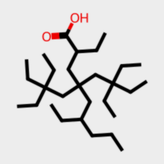 CCCC(CC)CC(CC(CC)C(=O)O)(CC(CC)(CC)CC)CC(CC)(CC)CC